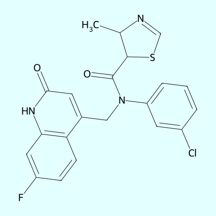 CC1N=CSC1C(=O)N(Cc1cc(=O)[nH]c2cc(F)ccc12)c1cccc(Cl)c1